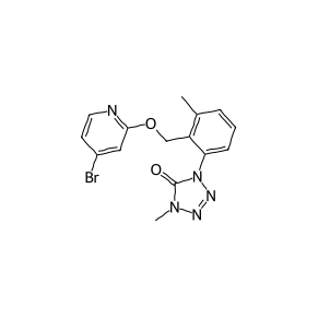 Cc1cccc(-n2nnn(C)c2=O)c1COc1cc(Br)ccn1